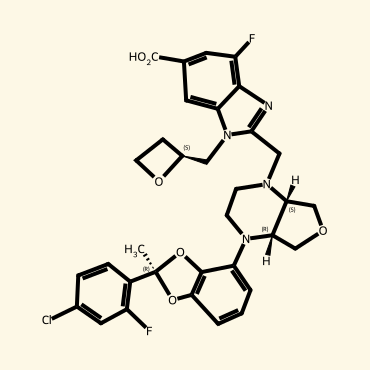 C[C@@]1(c2ccc(Cl)cc2F)Oc2cccc(N3CCN(Cc4nc5c(F)cc(C(=O)O)cc5n4C[C@@H]4CCO4)[C@@H]4COC[C@@H]43)c2O1